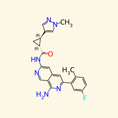 Cc1ccc(F)cc1-c1cc2cc(NC(=O)[C@@H]3C[C@H]3c3cnn(C)c3)ncc2c(N)n1